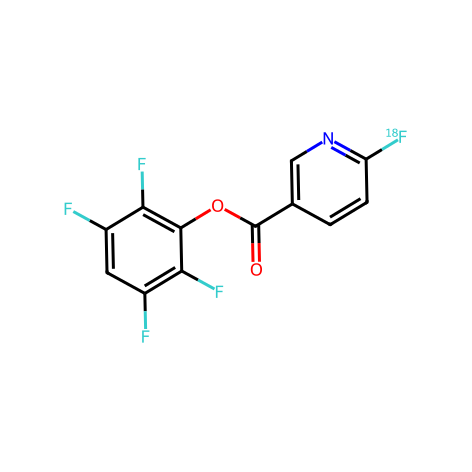 O=C(Oc1c(F)c(F)cc(F)c1F)c1ccc([18F])nc1